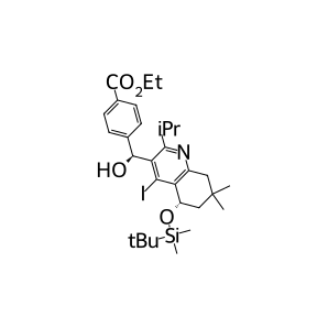 CCOC(=O)c1ccc([C@H](O)c2c(C(C)C)nc3c(c2I)[C@@H](O[Si](C)(C)C(C)(C)C)CC(C)(C)C3)cc1